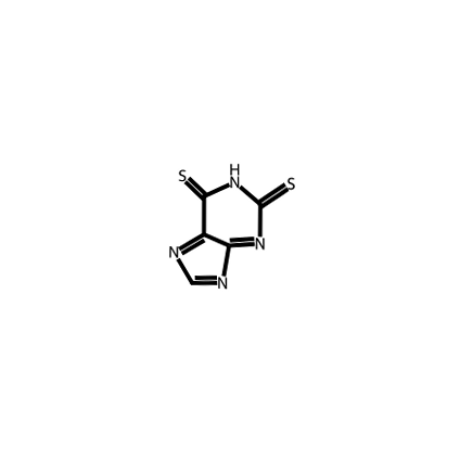 S=C1N=C2N=CN=C2C(=S)N1